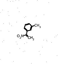 C=C(c1cccc(C)c1)[N+](=O)[O-]